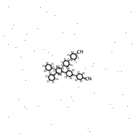 N#Cc1ccc(-c2ccc(-c3nc(-c4ccccc4)c(-c4ccccc4)nc3-c3ccc(-c4ccc(C#N)cc4)cc3)cc2)cc1